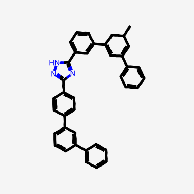 CC1C=C(c2ccccc2)C=C(c2cccc(-c3nc(-c4ccc(-c5cccc(-c6ccccc6)c5)cc4)n[nH]3)c2)C1